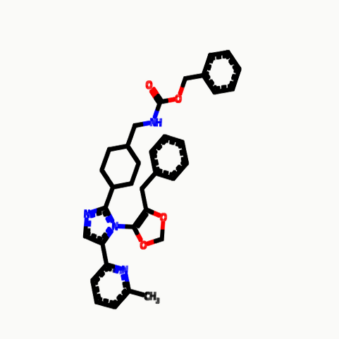 Cc1cccc(-c2cnc(C3CCC(CNC(=O)OCc4ccccc4)CC3)n2C2=C(Cc3ccccc3)OCO2)n1